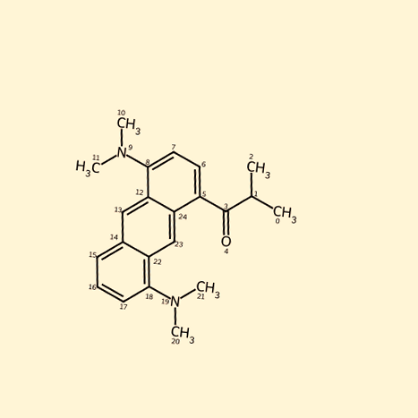 CC(C)C(=O)c1ccc(N(C)C)c2cc3cccc(N(C)C)c3cc12